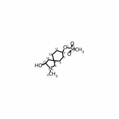 CN1CC2(CCC(OS(C)(=O)=O)CC2)CC1O